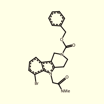 CNC(=O)Cn1c2c(c3cccc(Br)c31)CN(C(=O)OCc1ccccc1)CC2